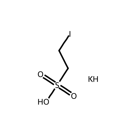 O=S(=O)(O)CCI.[KH]